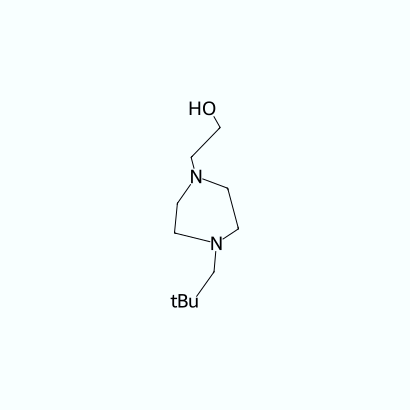 [CH2]C(C)(C)CN1CCN(CCO)CC1